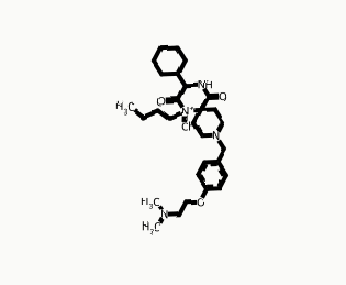 CCCC[N+]1(C)C(=O)C(C2CCCCC2)NC(=O)C12CCN(Cc1ccc(OCCN(C)C)cc1)CC2